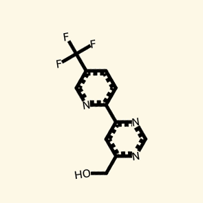 OCc1cc(-c2ccc(C(F)(F)F)cn2)ncn1